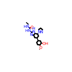 CCNC(=O)Nc1nc2cc(-c3ccc(OC)c(O)c3)cc(-n3cccn3)c2[nH]1